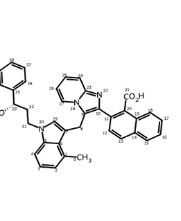 Cc1cccc2c1c(Cc1c(-c3ccc4ccccc4c3C(=O)O)nc3ccccn13)cn2CC[C@H](O)c1ccccc1